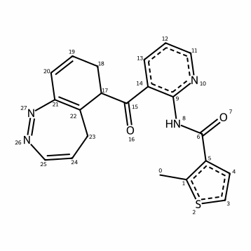 Cc1sccc1C(=O)Nc1ncccc1C(=O)C1CC=CC2=C1CC=CN=N2